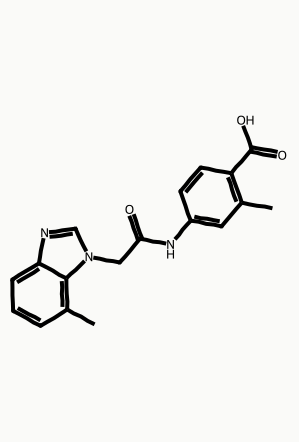 Cc1cc(NC(=O)Cn2cnc3cccc(C)c32)ccc1C(=O)O